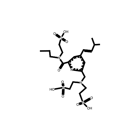 CCCN(CCS(=O)(=O)O)C(=O)c1cc(/C=C/C(C)C)cc(CN(CCS(=O)(=O)O)CCS(=O)(=O)O)n1